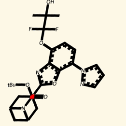 CC(C)(C)OC(=O)N1C2CC1CN(c1nc3c(OC(F)(F)C(C)(C)O)ccc(-n4cccn4)c3o1)C2